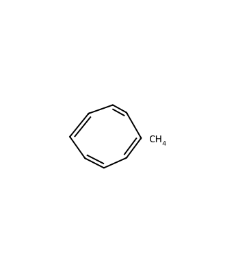 C.C1=CC=CC=CC=C1